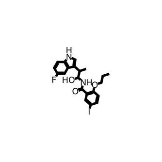 CCCOc1ccc(I)cc1C(=O)NC(O)C(C)c1c[nH]c2ccc(F)cc12